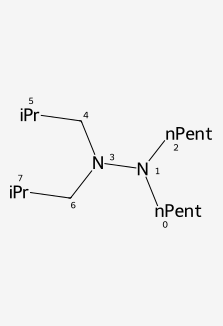 CCCCCN(CCCCC)N(CC(C)C)CC(C)C